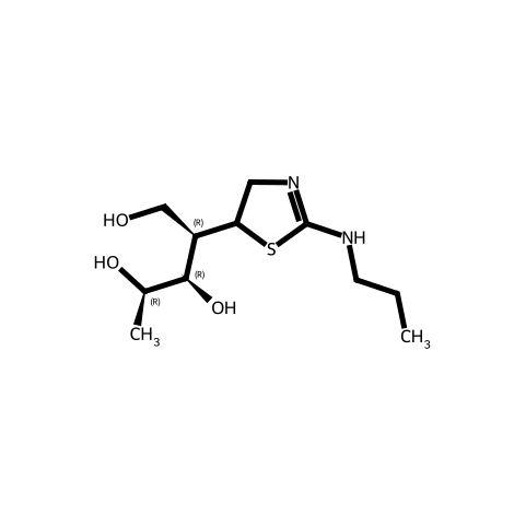 CCCNC1=NCC([C@H](CO)[C@@H](O)[C@@H](C)O)S1